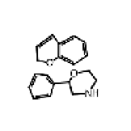 C1=Cc2ccccc2OC1.c1ccc(C2CNCCO2)cc1